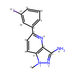 Cn1nc(N)c2nc(-c3cccc(I)c3)ccc21